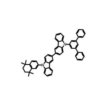 CC1(C)CCC(C)(C)c2cc(-n3c4ccccc4c4cc(-c5ccc6c(c5)c5ccccc5n6-c5cc(-c6ccccc6)cc(-c6ccccc6)c5)ccc43)ccc21